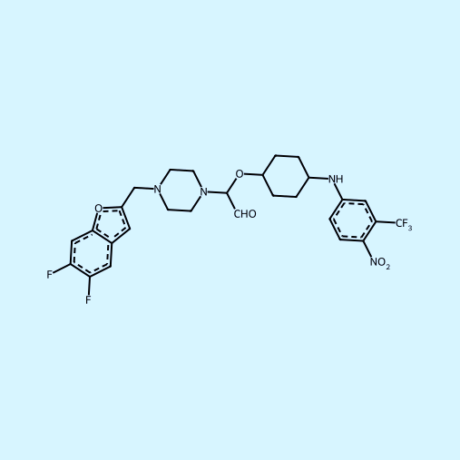 O=CC(OC1CCC(Nc2ccc([N+](=O)[O-])c(C(F)(F)F)c2)CC1)N1CCN(Cc2cc3cc(F)c(F)cc3o2)CC1